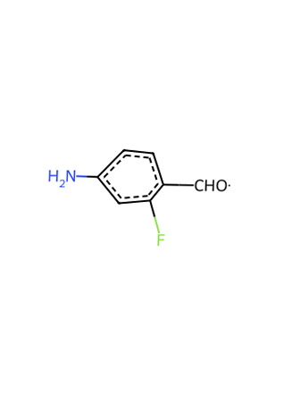 Nc1ccc([C]=O)c(F)c1